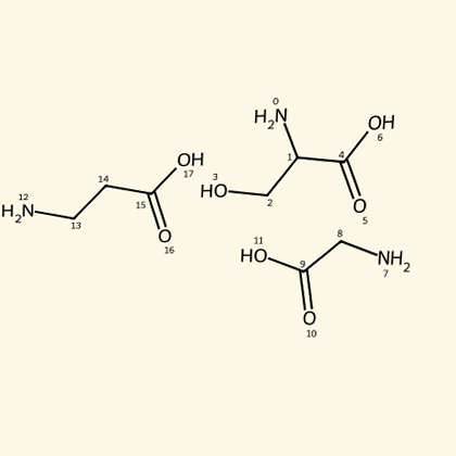 NC(CO)C(=O)O.NCC(=O)O.NCCC(=O)O